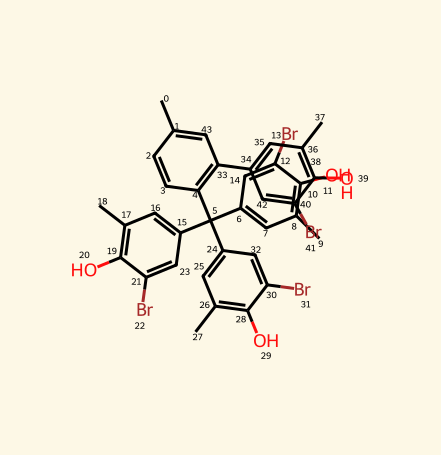 Cc1ccc(C(c2cc(C)c(O)c(Br)c2)(c2cc(C)c(O)c(Br)c2)c2cc(C)c(O)c(Br)c2)c(-c2cc(C)c(O)c(Br)c2)c1